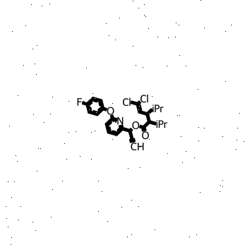 C#CC(OC(=O)C(C(C)C)C(C=C(Cl)Cl)C(C)C)c1cccc(Oc2ccc(F)cc2)n1